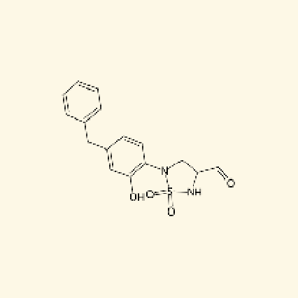 O=CC1CN(c2ccc(Cc3ccccc3)cc2O)S(=O)(=O)N1